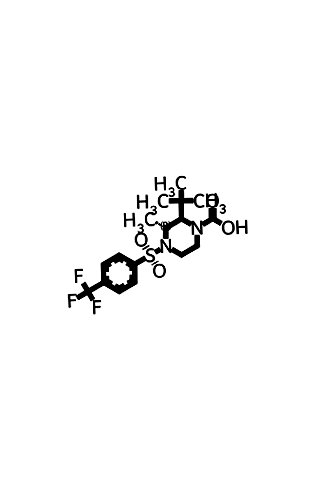 C[C@@H]1C(C(C)(C)C)N(C(=O)O)CCN1S(=O)(=O)c1ccc(C(F)(F)F)cc1